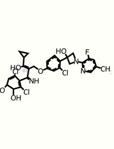 Cc1cnc(N2CC(O)(c3ccc(OC/C(C(=N)C4=C(Cl)C(O)C(O)C=C4Cl)=C(/O)C4CC4)cc3Cl)C2)c(F)c1